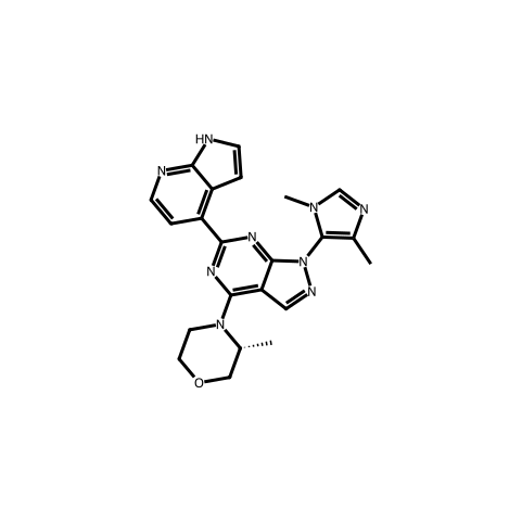 Cc1ncn(C)c1-n1ncc2c(N3CCOC[C@H]3C)nc(-c3ccnc4[nH]ccc34)nc21